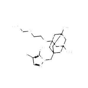 C[CH]OCCOC12CC3(C)CC(C)(CC(Cn4ncc(I)c4C)(C3)C1)C2